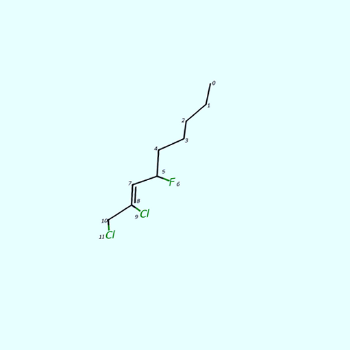 CCCCCC(F)C=C(Cl)CCl